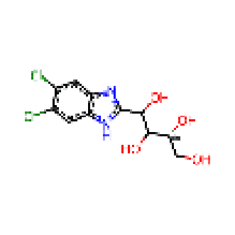 OC[C@@H](O)C(O)C(O)c1nc2cc(Cl)c(Cl)cc2[nH]1